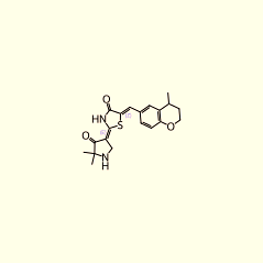 CC1CCOc2ccc(/C=c3\s/c(=C4\CNC(C)(C)C4=O)[nH]c3=O)cc21